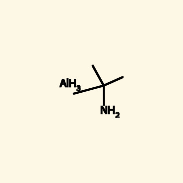 CC(C)(C)N.[AlH3]